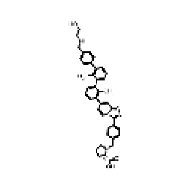 Cc1c(-c2ccc(CNCCO)cc2)cccc1-c1cccc(-c2ccn3c(-c4ccc(CN5CCC[C@H]5C(=O)O)cc4)nnc3c2)c1C